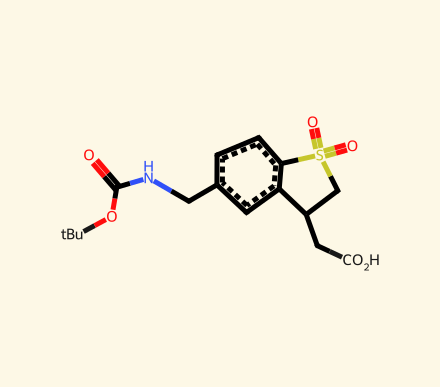 CC(C)(C)OC(=O)NCc1ccc2c(c1)C(CC(=O)O)CS2(=O)=O